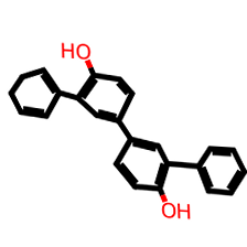 Oc1ccc(-c2ccc(O)c(-c3ccccc3)c2)cc1C1=CCCC=C1